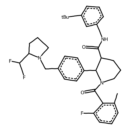 Cc1cccc(F)c1C(=O)N1CCCC(C(=O)Nc2cccc(C(C)(C)C)c2)C1c1ccc(CN2CCCC2C(F)F)cc1